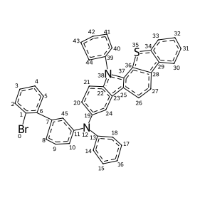 Brc1ccccc1-c1cccc(N(c2ccccc2)c2ccc3c(c2)c2ccc4c5ccccc5sc4c2n3-c2ccccc2)c1